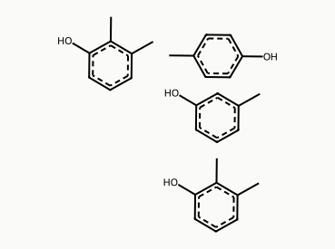 Cc1ccc(O)cc1.Cc1cccc(O)c1.Cc1cccc(O)c1C.Cc1cccc(O)c1C